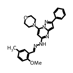 COc1ccc(C)cc1C=NNc1cc(N2CCOCC2)n2nc(-c3ccccc3)cc2n1